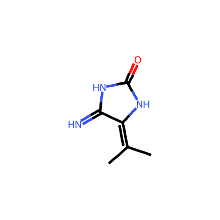 CC(C)=C1NC(=O)NC1=N